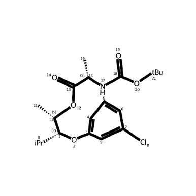 CC(C)[C@@H](Oc1cccc(Cl)c1)[C@H](C)OC(=O)[C@H](C)NC(=O)OC(C)(C)C